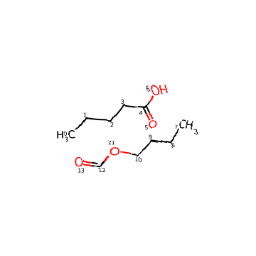 CCCCC(=O)O.CCCCOC=O